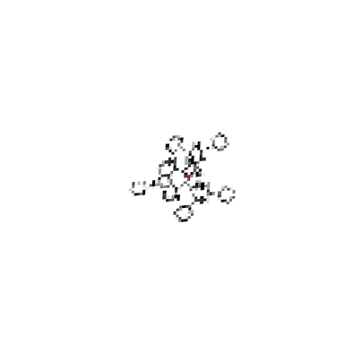 c1ccc(-c2nc(-c3ccccc3)nc(-c3cccc(-c4nccc5c4c4c(-c6cccc(-c7nc(-c8ccccc8)nc(-c8ccccc8)n7)c6)nccc4n5-c4ccccc4)c3)n2)cc1